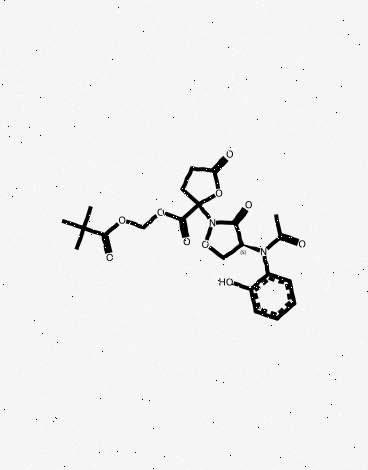 CC(=O)N(c1ccccc1O)[C@H]1CON(C2(C(=O)OCOC(=O)C(C)(C)C)CCC(=O)O2)C1=O